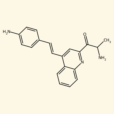 CC(N)C(=O)c1cc(C=Cc2ccc(N)cc2)c2ccccc2n1